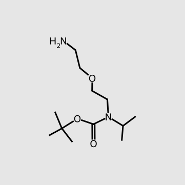 CC(C)N(CCOCCN)C(=O)OC(C)(C)C